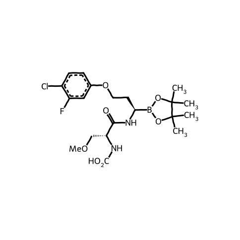 COC[C@@H](NC(=O)O)C(=O)N[C@@H](CCOc1ccc(Cl)c(F)c1)B1OC(C)(C)C(C)(C)O1